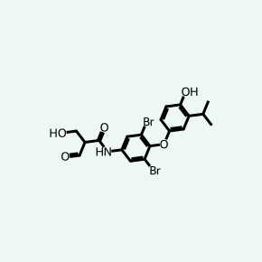 CC(C)c1cc(Oc2c(Br)cc(NC(=O)C(C=O)CO)cc2Br)ccc1O